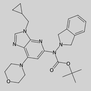 CC(C)(C)OC(=O)N(c1cc(N2CCOCC2)c2ncn(CC3CC3)c2n1)N1Cc2ccccc2C1